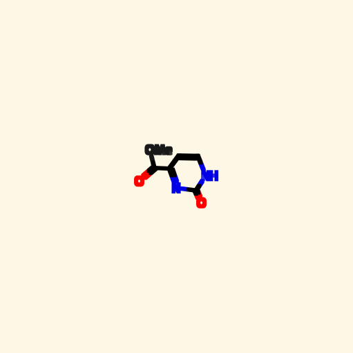 COC(=O)c1cc[nH]c(=O)n1